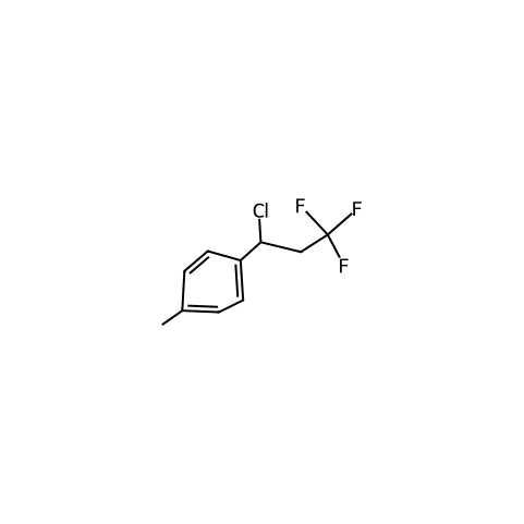 Cc1ccc(C(Cl)CC(F)(F)F)cc1